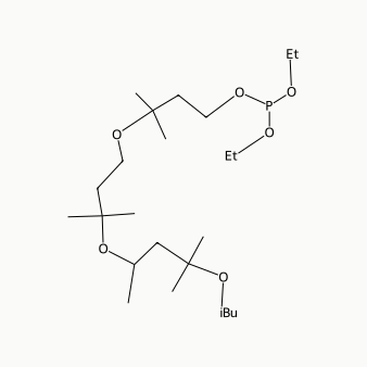 CCOP(OCC)OCCC(C)(C)OCCC(C)(C)OC(C)CC(C)(C)OC(C)CC